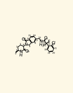 C=C1CCC(N2Cc3cc(CNC(=O)C(F)(F)c4ccccc4Cl)ccc3C2=O)C(=O)N1